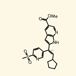 COC(=O)c1cnc2[nH]c(/C(=C/C3CCCC3)c3ccc(S(C)(=O)=O)nc3)cc2c1